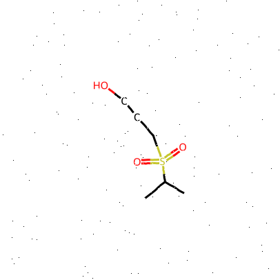 CC(C)S(=O)(=O)[CH]CCO